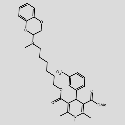 COC(=O)C1=C(C)NC(C)=C(C(=O)OCCCCCCN(C)C2COc3ccccc3O2)C1c1cccc([N+](=O)[O-])c1